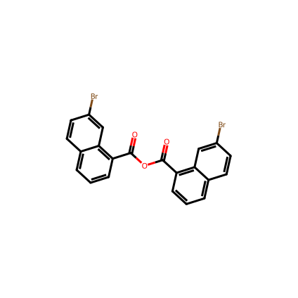 O=C(OC(=O)c1cccc2ccc(Br)cc12)c1cccc2ccc(Br)cc12